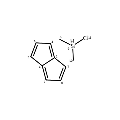 C1=CC2=CC=CC2=C1.C[SiH](C)Cl